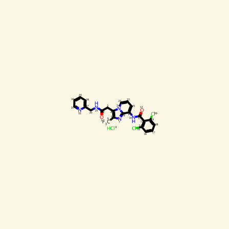 Cl.O=C(Cc1c(C(F)(F)F)nc2c(NC(=O)c3c(Cl)cccc3Cl)cccn12)NCc1ccccn1